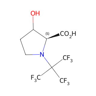 O=C(O)[C@@H]1C(O)CCN1C(C(F)(F)F)(C(F)(F)F)C(F)(F)F